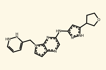 C1=CNNC(Cn2ccc3ncc(Nc4cc(C5CCOC5)[nH]n4)nc32)=C1